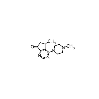 C[C@@H]1CC(=O)c2ncnc(N3CCN(C)CC3)c21